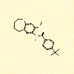 COc1cc2c(cc1N(C)C(=O)c1ccc(C(C)(C)C)cc1)CCCCN2